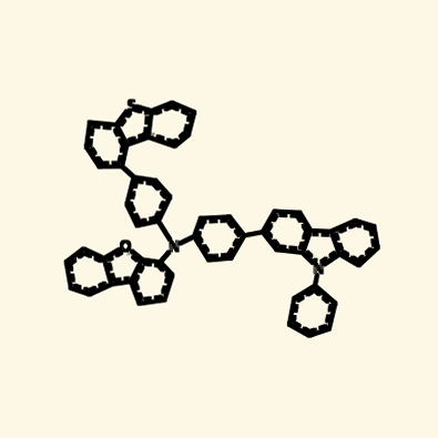 c1ccc(-n2c3ccccc3c3ccc(-c4ccc(N(c5ccc(-c6cccc7sc8ccccc8c67)cc5)c5cccc6c5oc5ccccc56)cc4)cc32)cc1